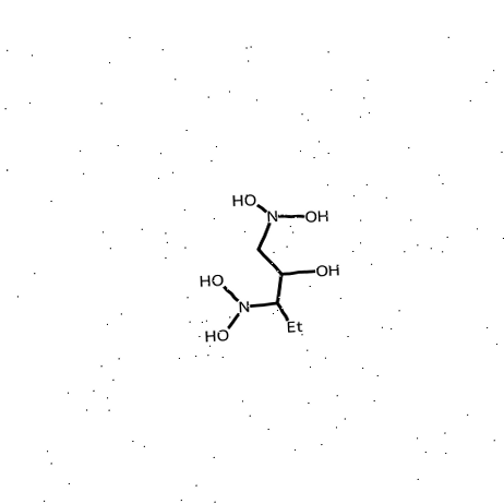 CCC(C(O)CN(O)O)N(O)O